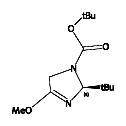 COC1=N[C@H](C(C)(C)C)N(C(=O)OC(C)(C)C)C1